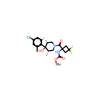 Cc1cc(Cl)cc(F)c1C1(O)[C@H](C)CN(C(=O)C2(NC(=O)OC(C)(C)C)CC(F)(F)C2)C[C@@H]1C